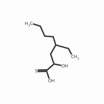 CCCCC(CC)CC(O)C(O)=S